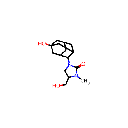 CN1C(=O)N(C2C3CC4CC2CC(O)(C4)C3)CC1CO